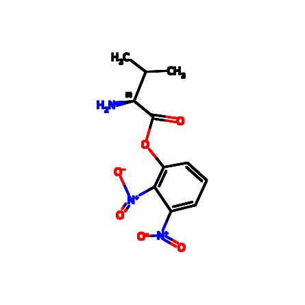 CC(C)[C@H](N)C(=O)Oc1cccc([N+](=O)[O-])c1[N+](=O)[O-]